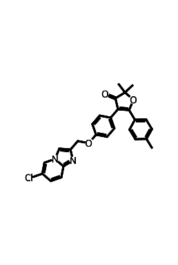 Cc1ccc(C2=C(c3ccc(OCc4cn5cc(Cl)ccc5n4)cc3)C(=O)C(C)(C)O2)cc1